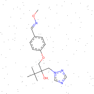 CO/N=C/c1ccc(OCC(O)(Cn2cncn2)C(C)(C)C)cc1